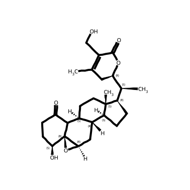 CC1=C(CO)C(=O)O[C@@H]([C@@H](C)[C@H]2CC[C@H]3[C@@H]4C[C@H]5O[C@@]56C(C(=O)CC[C@@H]6O)[C@H]4CC[C@]23C)C1